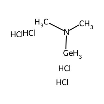 C[N](C)[GeH3].Cl.Cl.Cl.Cl